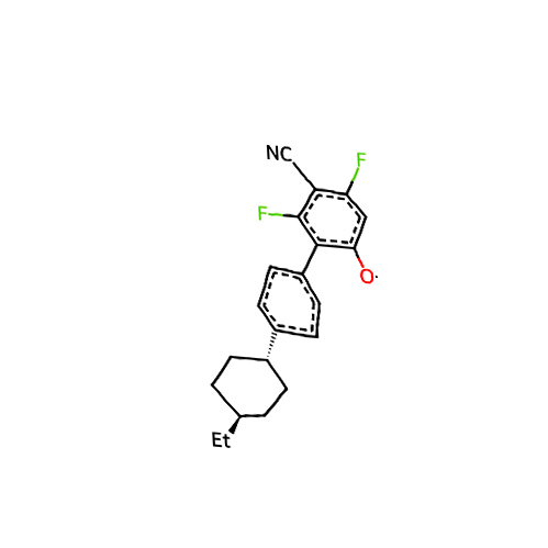 CC[C@H]1CC[C@H](c2ccc(-c3c([O])cc(F)c(C#N)c3F)cc2)CC1